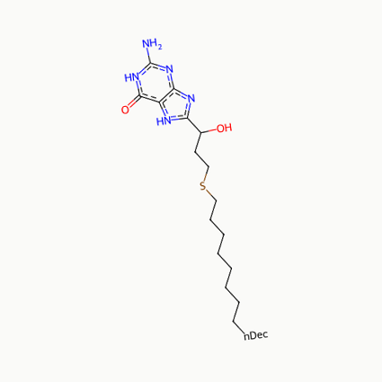 CCCCCCCCCCCCCCCCCCSCCC(O)c1nc2nc(N)[nH]c(=O)c2[nH]1